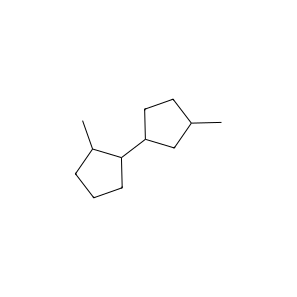 CC1CCC(C2CCCC2C)C1